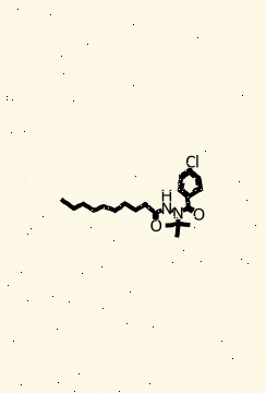 CCCCCCCCCC(=O)NN(C(=O)c1ccc(Cl)cc1)C(C)(C)C